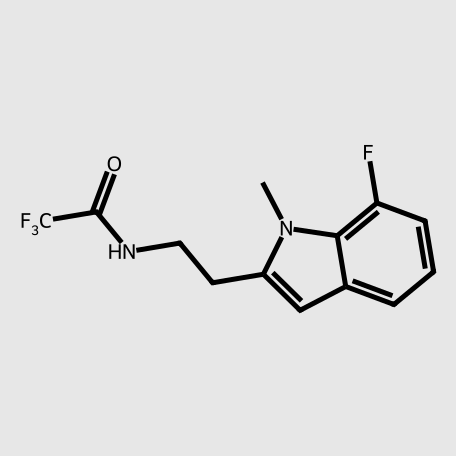 Cn1c(CCNC(=O)C(F)(F)F)cc2cccc(F)c21